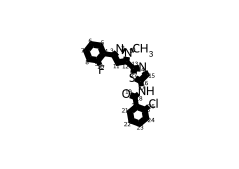 Cn1nc(-c2ccccc2F)cc1-c1ncc(NC(=O)c2ccccc2Cl)s1